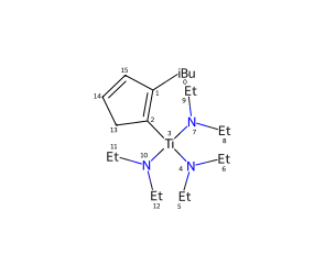 CCC(C)C1=[C]([Ti]([N](CC)CC)([N](CC)CC)[N](CC)CC)CC=C1